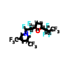 FC(N1CC(C(F)(F)F)CC(C(F)(F)F)C1)C(F)(F)C1CCC(C(F)(F)C(F)C(F)(F)F)O1